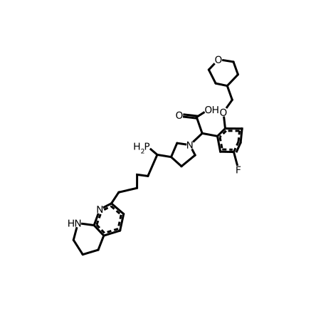 O=C(O)C(c1cc(F)ccc1OCC1CCOCC1)N1CCC(C(P)CCCCc2ccc3c(n2)NCCC3)C1